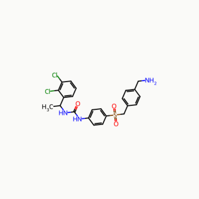 CC(NC(=O)Nc1ccc(S(=O)(=O)Cc2ccc(CN)cc2)cc1)c1cccc(Cl)c1Cl